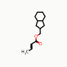 C/C=C/C(=O)OCC1CC2CCCCC2C1